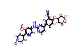 COc1cc(Nc2nccc(-c3ccc(OC4CCOCC4)c(C#N)c3)n2)cnc1C1CCN(C)CC1